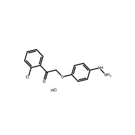 Cl.NNc1ccc(OCC(=O)c2ccccc2Cl)cc1